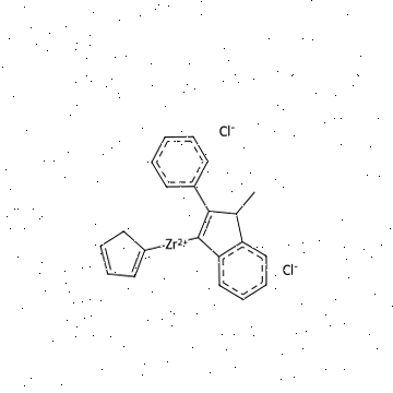 CC1C(c2ccccc2)=[C]([Zr+2][C]2=CC=CC2)c2ccccc21.[Cl-].[Cl-]